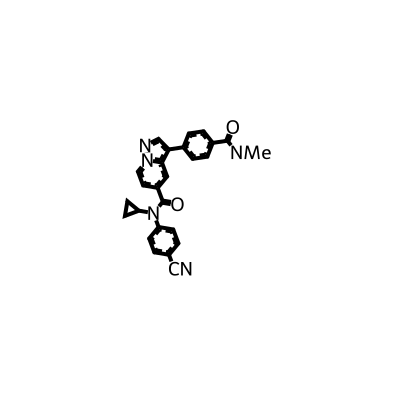 CNC(=O)c1ccc(-c2cnn3ccc(C(=O)N(c4ccc(C#N)cc4)C4CC4)cc23)cc1